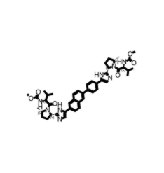 COC(=O)N[C@H](C(=O)N1[C@@H](C)CC[C@H]1c1ncc(-c2ccc(-c3ccc4cc(-c5cnc([C@@H]6CC[C@H](C)N6C(=O)[C@@H](NC(=O)OC)C(C)C)[nH]5)ccc4c3)cc2)[nH]1)C(C)C